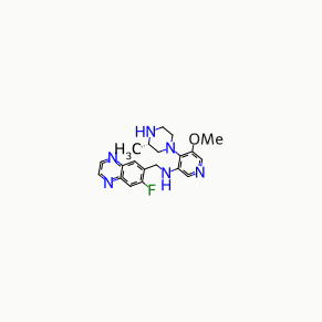 COc1cncc(NCc2cc3nccnc3cc2F)c1N1CCN[C@@H](C)C1